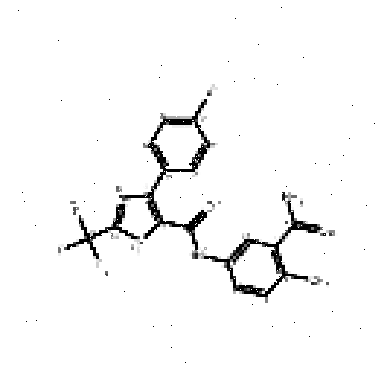 Cc1ccc(NC(=O)c2[nH]c(C(F)(F)F)nc2-c2ccc(F)cc2)cc1C(N)=O